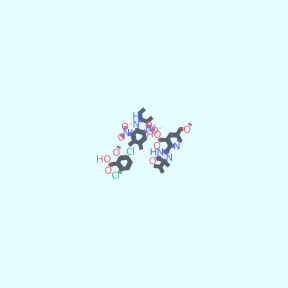 CCC(CC)Nc1c([N+](=O)[O-])cc(C)c(C)c1[N+](=O)[O-].COCc1cnc(C2=NC(C)(C(C)C)C(=O)N2)c(C(=O)O)c1.COc1c(Cl)ccc(Cl)c1C(=O)O